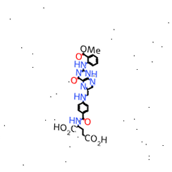 COC(=O)c1ccccc1Nc1nc(=O)c2nc(CNc3ccc(C(=O)N[C@@H](CCC(=O)O)C(=O)O)cc3)cnc2[nH]1